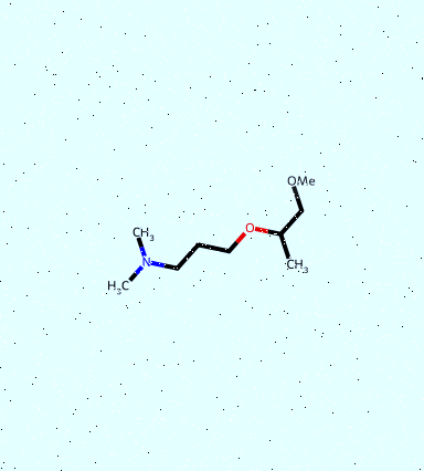 COCC(C)OCCCN(C)C